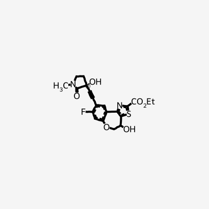 CCOC(=O)c1nc2c(s1)C(O)COc1cc(F)c(C#C[C@]3(O)CCN(C)C3=O)cc1-2